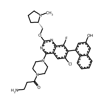 CN1CCC[C@H]1COc1nc(N2CCN(C(=O)CCN)CC2)c2cc(Cl)c(-c3cc(O)cc4ccccc34)c(F)c2n1